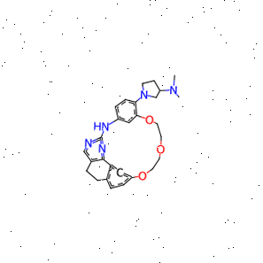 CN(C)C1CCN(c2ccc3cc2OCCOCCOc2ccc4c(c2)-c2nc(ncc2CC4)N3)C1